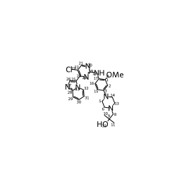 COc1cc(N2CCN(CC(C)(C)O)CC2)ccc1Nc1ncc(Cl)c(-c2cnc3ccccn23)n1